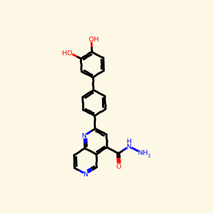 NNC(=O)c1cc(-c2ccc(-c3ccc(O)c(O)c3)cc2)nc2ccncc12